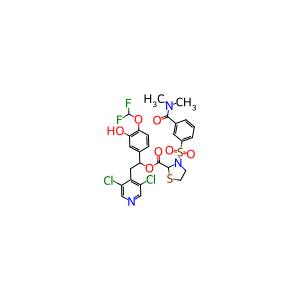 CN(C)C(=O)c1cccc(S(=O)(=O)N2CCSC2C(=O)OC(Cc2c(Cl)cncc2Cl)c2ccc(OC(F)F)c(O)c2)c1